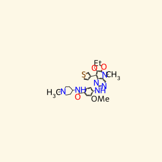 CCOc1c(-c2ccsc2)c2nc(Nc3ccc(C(=O)NC4CCN(C)CC4)cc3OC)ncc2n(C)c1=O